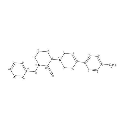 COc1ccc(C2=CCN(C3CCCN(Cc4ccccc4)C3=O)CC2)cc1